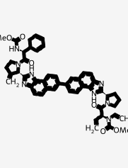 C=C[C@@H](C(=O)N1CCC[C@H]1c1nc2ccc3cc(-c4ccc5c(ccc6nc([C@@H]7C(=C)CCN7C(=O)[C@H](NC(=O)OC)C7C=CC=CC7)[nH]c65)c4)ccc3c2[nH]1)N(C=C)C(=O)OC